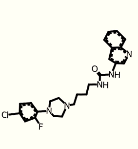 O=C(NCCCCN1CCN(c2ccc(Cl)cc2F)CC1)Nc1cnc2ccccc2c1